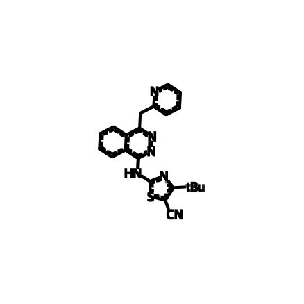 CC(C)(C)c1nc(Nc2nnc(Cc3ccccn3)c3ccccc23)sc1C#N